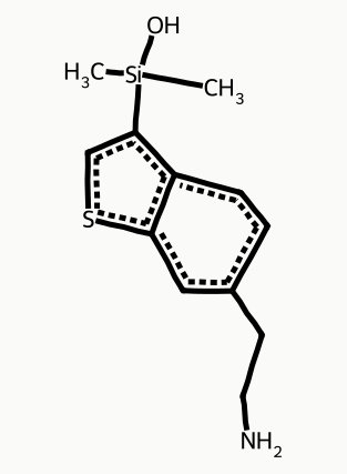 C[Si](C)(O)c1csc2cc(CCN)ccc12